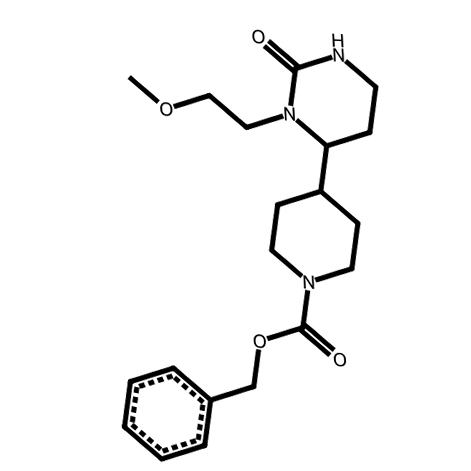 COCCN1C(=O)NCCC1C1CCN(C(=O)OCc2ccccc2)CC1